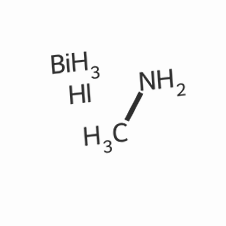 CN.I.[BiH3]